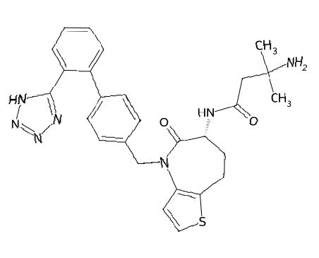 CC(C)(N)CC(=O)N[C@@H]1CCc2sccc2N(Cc2ccc(-c3ccccc3-c3nnn[nH]3)cc2)C1=O